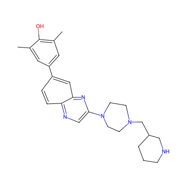 Cc1cc(-c2ccc3ncc(N4CCN(CC5CCCNC5)CC4)nc3c2)cc(C)c1O